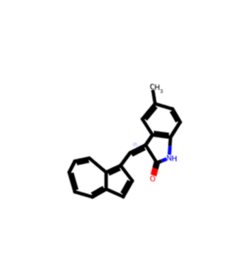 Cc1ccc2c(c1)/C(=C/c1ccc3cccccc1-3)C(=O)N2